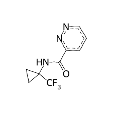 O=C(NC1(C(F)(F)F)CC1)c1cccnn1